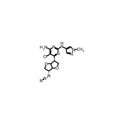 Cn1cc(Nc2nc(N)c(Cl)c([C@H]3COC4C3OC[C@H]4N=[N+]=[N-])n2)cn1